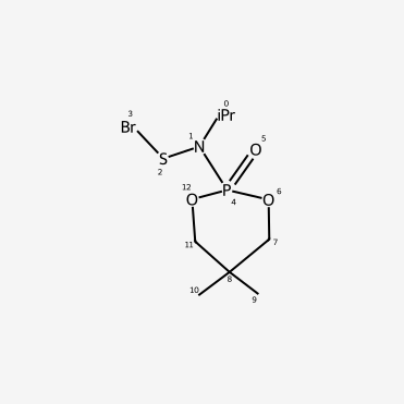 CC(C)N(SBr)P1(=O)OCC(C)(C)CO1